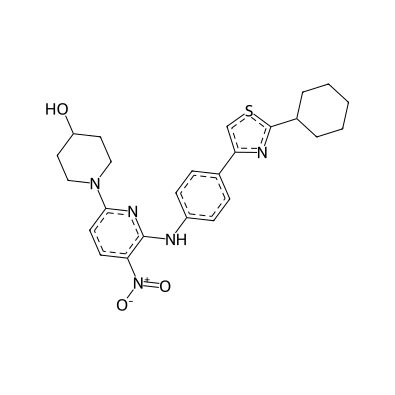 O=[N+]([O-])c1ccc(N2CCC(O)CC2)nc1Nc1ccc(-c2csc(C3CCCCC3)n2)cc1